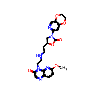 COc1ccc2ncc(=O)n(CCNCCC3CN(c4cc5c(cn4)OCCO5)C(=O)O3)c2n1